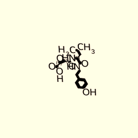 CC(C)C[C@H](NC(=O)[C@H]1O[C@@H]1C(=O)O)C(=O)NCCc1ccc(O)cc1